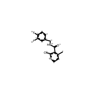 Cc1ccnc(Cl)c1C(=O)NCc1ccc(F)c(F)c1